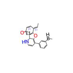 CBc1cccc(C2=C3OC(C(/C=C\C(=O)CC)=C/C)=CC3NC=C2)c1